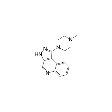 CN1CCN(c2n[nH]c3cnc4ccccc4c23)CC1